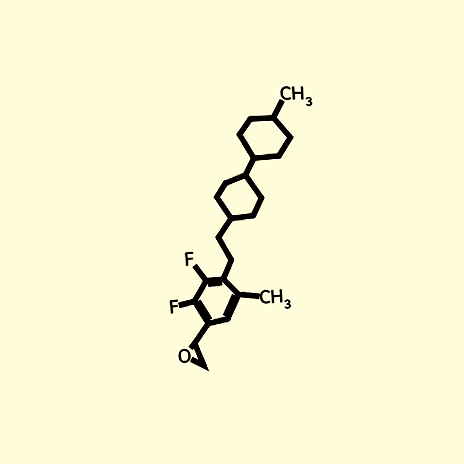 Cc1cc(C2CO2)c(F)c(F)c1CCC1CCC(C2CCC(C)CC2)CC1